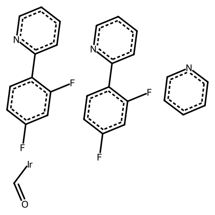 Fc1ccc(-c2ccccn2)c(F)c1.Fc1ccc(-c2ccccn2)c(F)c1.O=[CH][Ir].c1ccncc1